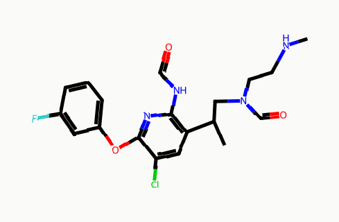 CNCCN(C=O)CC(C)c1cc(Cl)c(Oc2cccc(F)c2)nc1NC=O